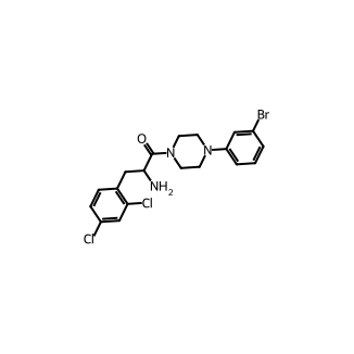 NC(Cc1ccc(Cl)cc1Cl)C(=O)N1CCN(c2cccc(Br)c2)CC1